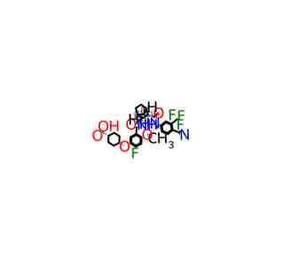 COc1cc(F)c(O[C@H]2CC[C@@H](C(=O)O)CC2)cc1C(=O)N[C@@H]1[C@H]2CC[C@H](C2)[C@@H]1C(=O)Nc1ccc(C#N)c(C(F)(F)F)c1